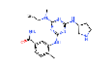 Cc1ccc(C(N)=O)cc1Nc1nc(NC2CCNC2)nc(N(C)CC(C)(C)C)n1